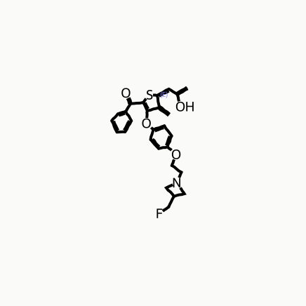 C=C(O)/C=c1/sc(C(=O)c2ccccc2)c(Oc2ccc(OCCN3CC(CF)C3)cc2)c1=C